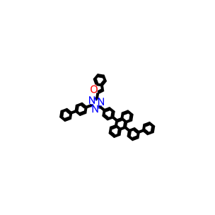 c1ccc(-c2ccc(-c3nc(-c4ccc(-c5c6ccccc6c(-c6cccc(-c7ccccc7)c6)c6ccccc56)cc4)nc(-c4cc5ccccc5o4)n3)cc2)cc1